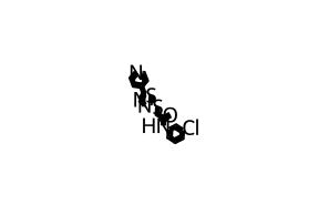 O=C(CSc1nnc(-c2ccncc2)s1)Nc1cccc(Cl)c1